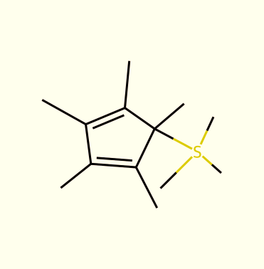 CC1=C(C)C(C)(S(C)(C)C)C(C)=C1C